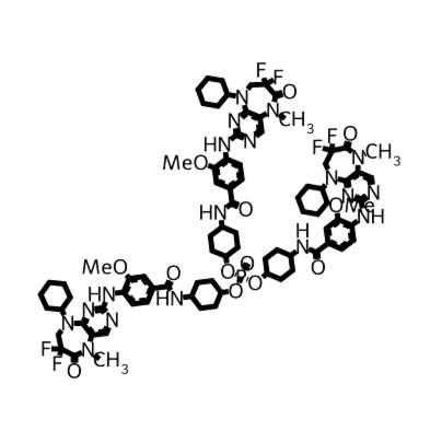 COc1cc(C(=O)NC2CCC(OP(=O)(OC3CCC(NC(=O)c4ccc(Nc5ncc6c(n5)N(C5CCCCC5)CC(F)(F)C(=O)N6C)c(OC)c4)CC3)OC3CCC(NC(=O)c4ccc(Nc5ncc6c(n5)N(C5CCCCC5)CC(F)(F)C(=O)N6C)c(OC)c4)CC3)CC2)ccc1Nc1ncc2c(n1)N(C1CCCCC1)CC(F)(F)C(=O)N2C